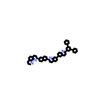 c1ccc(-c2cc(-c3ccccc3)cc(-c3ccc4cc(-c5ccc6ccc(-c7ccc8cc(-c9ccc%10ccc%11cccnc%11c%10n9)ccc8c7)nc6c5)ccc4n3)c2)cc1